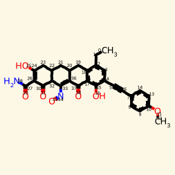 CCc1cc(C#Cc2ccc(OC)cc2)c(O)c2c1CC1CC3CC(O)=C(C(N)=O)C(=O)C3C(N=O)=C1C2=O